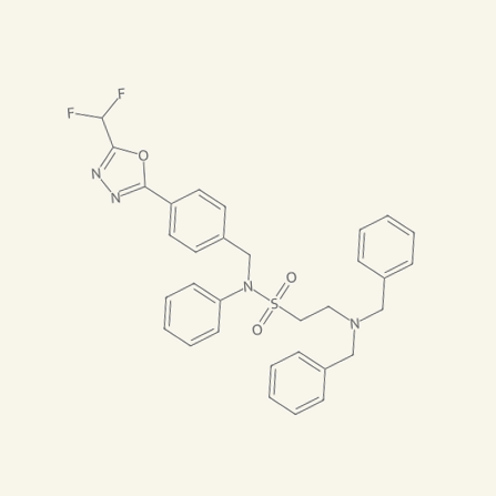 O=S(=O)(CCN(Cc1ccccc1)Cc1ccccc1)N(Cc1ccc(-c2nnc(C(F)F)o2)cc1)c1ccccc1